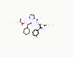 CN[C@@H](C)C(=O)N[C@H](C(=O)N1CCC[C@H]1C(=O)Nc1sc(NC(C)=O)nc1-c1cccc(Cl)c1)C1CCCCC1